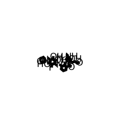 CNC(=O)C(O)(CCC=O)N1Cc2c(NCc3c(O)c(O)c(CN4CCOCC4)c(O)c3F)cccc2C1=O